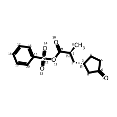 C[C@@H](C[C@@H]1CCC(=O)C1)C(=O)OS(=O)(=O)c1ccccc1